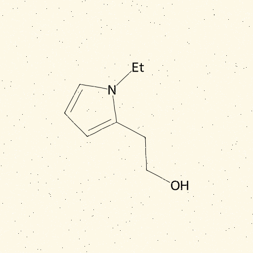 CCn1cccc1CCO